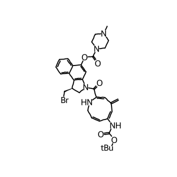 C=C1/C=C(/C(=O)N2C[C@@H](CBr)c3c2cc(OC(=O)N2CCN(C)CC2)c2ccccc32)NC/C=C\C(NC(=O)OC(C)(C)C)=C/1